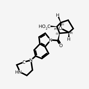 O=C(O)[C@@H]1[C@H](C(=O)n2ccc3cc(N4CCNCC4)ccc32)[C@H]2CC[C@@H]1O2